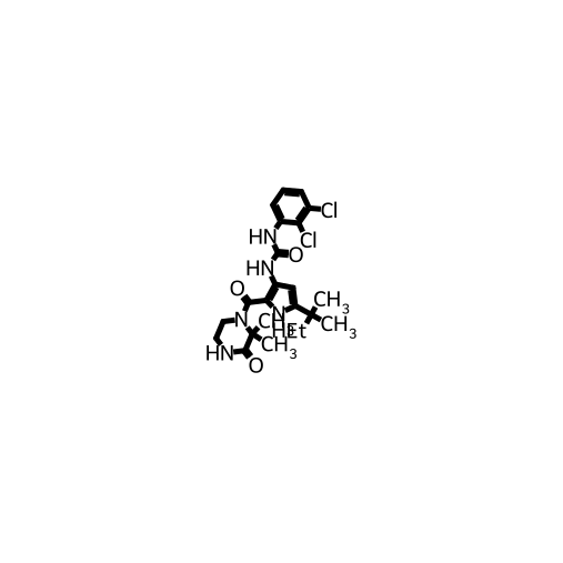 CCC(C)(C)c1cc(NC(=O)Nc2cccc(Cl)c2Cl)c(C(=O)N2CCNC(=O)C2(C)C)[nH]1